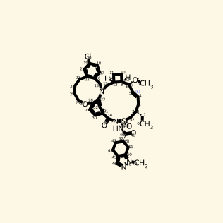 CC[C@H]1C/C=C/[C@H](OC)[C@@H]2CC[C@H]2CN2Cc3ccc(Cl)cc3CCCCOc3ccc(cc32)C(=O)N=S(=O)(NC(=O)[C@H]2CCc3cnn(C)c3C2)C1